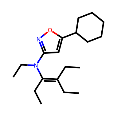 CCC(CC)=C(CC)N(CC)c1cc(C2CCCCC2)on1